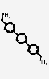 PCc1ccc(-c2ccc(-c3ccc(CP)cc3)cc2)cc1